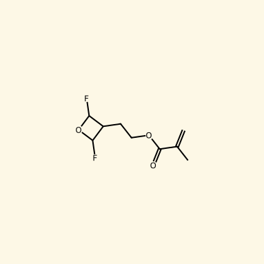 C=C(C)C(=O)OCCC1C(F)OC1F